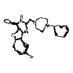 O=c1[nH]c(CN2CCN(C3=CC=CCC3)CC2)nc2c1oc1ccc(Br)cc12